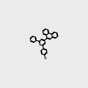 Brc1ccc(-c2cc(-c3cc4ccccc4c4ccccc34)cc(-c3ccccc3)n2)cc1